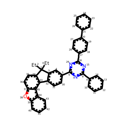 CCC1(CC)c2cc(-c3nc(-c4ccccc4)nc(-c4ccc(-c5ccccc5)cc4)n3)ccc2-c2c1ccc1oc3ccccc3c21